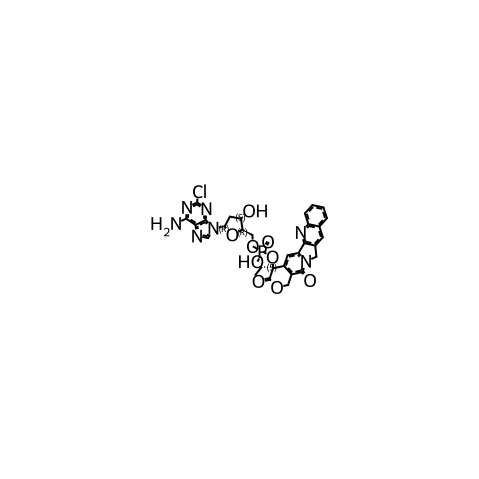 CC[C@@]1(OP(=O)(O)OC[C@H]2O[C@@H](n3cnc4c(N)nc(Cl)nc43)C[C@@H]2O)C(=O)OCc2c1cc1n(c2=O)Cc2cc3ccccc3nc2-1